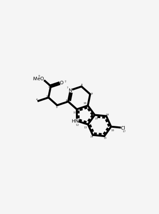 COC(=O)C(C)CC1=NCCc2c1[nH]c1ccc(Cl)cc21